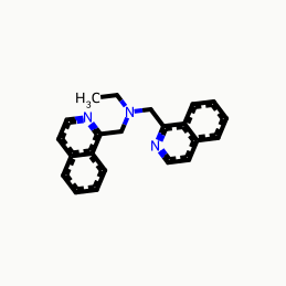 CCN(Cc1nccc2ccccc12)Cc1nccc2ccccc12